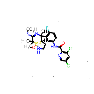 CC1(C)C(NC(=O)O)=N[C@](C)(c2cc(NC(=O)c3ncc(Cl)cc3Cl)ccc2F)[C@@H]2CCN[SH]21=O